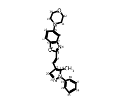 Cc1c(C=Cc2nc3cc(N4CCOCC4)ccc3o2)cnn1-c1ccccc1